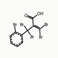 O=C(O)C(=C(Br)Br)C(Br)(Br)c1ccccc1Br